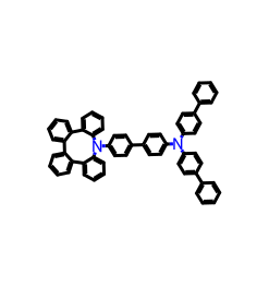 c1ccc(-c2ccc(N(c3ccc(-c4ccccc4)cc3)c3ccc(-c4ccc(-n5c6ccccc6c6ccccc6c6ccccc6c6ccccc65)cc4)cc3)cc2)cc1